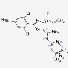 C=C/C(F)=c1/nc(-c2c(Cl)cc(C#N)cc2Cl)s/c1=C(/N)NC(=C/C(=C)C)/N=C\N